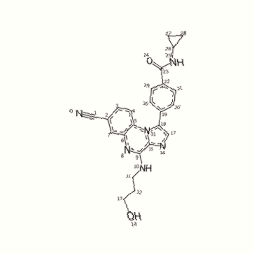 N#Cc1ccc2c(c1)nc(NCCCO)c1ncc(-c3ccc(C(=O)NC4CC4)cc3)n12